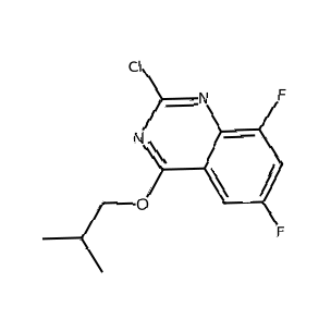 CC(C)COc1nc(Cl)nc2c(F)cc(F)cc12